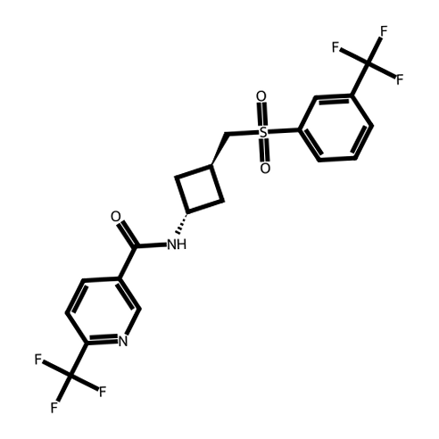 O=C(N[C@H]1C[C@H](CS(=O)(=O)c2cccc(C(F)(F)F)c2)C1)c1ccc(C(F)(F)F)nc1